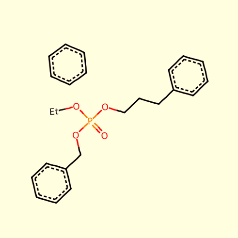 CCOP(=O)(OCCCc1ccccc1)OCc1ccccc1.c1ccccc1